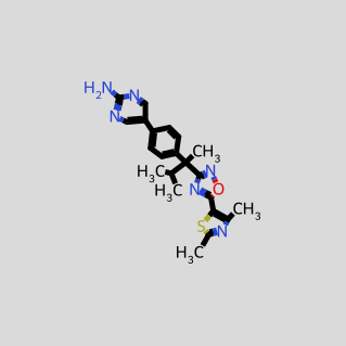 Cc1nc(C)c(-c2nc(C(C)(c3ccc(-c4cnc(N)nc4)cc3)C(C)C)no2)s1